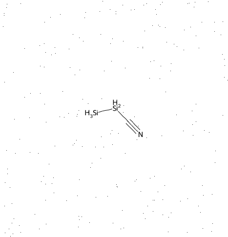 N#C[SiH2][SiH3]